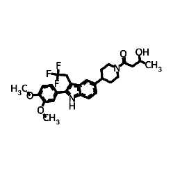 COc1ccc(-c2[nH]c3ccc(C4CCN(C(=O)CC(C)O)CC4)cc3c2CC(F)(F)F)cc1OC